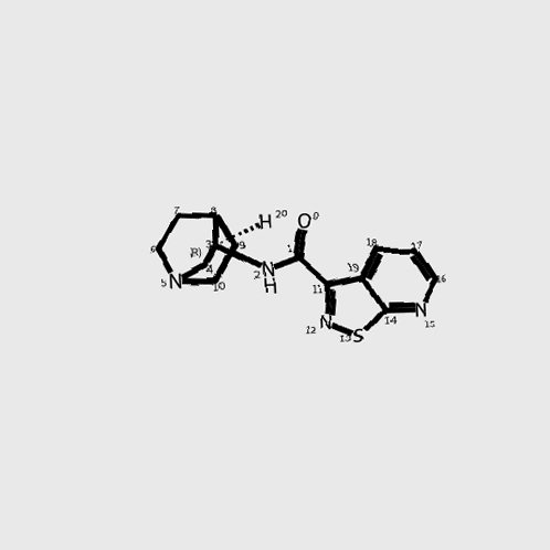 O=C(N[C@H]1CN2CCC1CC2)c1nsc2ncccc12